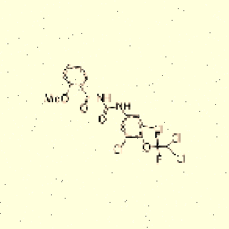 COc1ccccc1C(=O)NC(=O)Nc1cc(Cl)c(OC(F)(F)C(Cl)Cl)c(Cl)c1